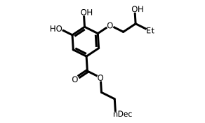 CCCCCCCCCCCCOC(=O)c1cc(O)c(O)c(OCC(O)CC)c1